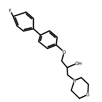 OC(COc1ccc(-c2ccc(F)cc2)cc1)CN1CCOCC1